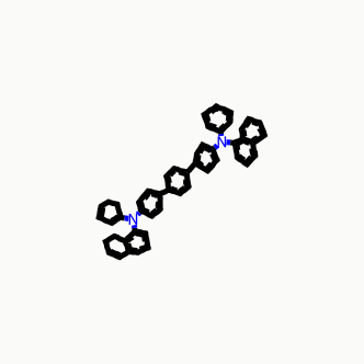 C1=CCCC(N(c2ccc(-c3ccc(-c4ccc(N(c5ccccc5)c5cccc6ccccc56)cc4)cc3)cc2)c2cccc3c2CCC=C3)=C1